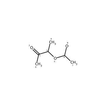 CC(=O)C(C)OC(C)[O]